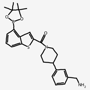 CC1(C)OB(c2cccc3sc(C(=O)N4CCC(c5cccc(CN)c5)CC4)cc23)OC1(C)C